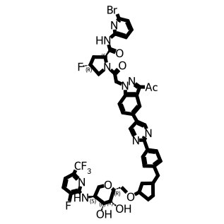 CC(=O)c1nn(CC(=O)N2C[C@H](F)C[C@H]2C(=O)Nc2cccc(Br)n2)c2ccc(-c3cnc(-c4ccc(CC5CCC(OC[C@H]6OC[C@H](Nc7nc(C(F)(F)F)ccc7F)[C@@H](O)[C@H]6O)C5)cc4)nc3)cc12